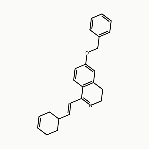 C1=CCC(C=CC2=NCCc3cc(OCc4ccccc4)ccc32)CC1